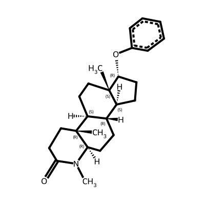 CN1C(=O)CC[C@]2(C)[C@H]3CC[C@]4(C)[C@H](Oc5ccccc5)CC[C@H]4[C@@H]3CC[C@@H]12